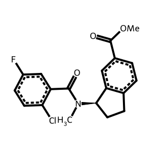 COC(=O)c1ccc2c(c1)[C@H](N(C)C(=O)c1cc(F)ccc1Cl)CC2